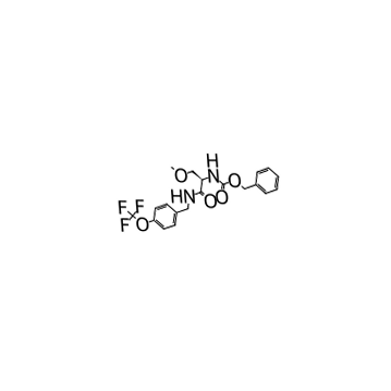 COC[C@@H](NC(=O)OCc1ccccc1)C(=O)NCc1ccc(OC(F)(F)F)cc1